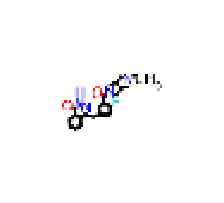 CCN1CC2CN(C(=O)c3cc(Cc4n[nH]c(=O)c5ccccc45)ccc3F)CC2C1